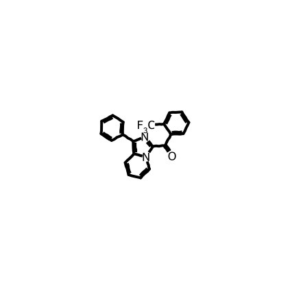 O=C(c1ccccc1C(F)(F)F)c1nc(-c2ccccc2)c2ccccn12